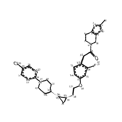 Cc1nc2c(o1)CCN(C(=O)Cc1ccc(OCC[C@@H]3C[C@@H]3C3CCN(c4ncc(Cl)cn4)CC3)cc1F)C2